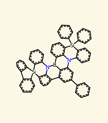 c1ccc(-c2cc3c4c(c2)N2c5ccccc5[Si](c5ccccc5)(c5ccccc5)c5cccc(c52)B4N2c4ccccc4[Si]4(c5ccccc5-c5ccccc54)c4cccc-3c42)cc1